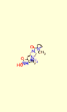 C=C(/C=C1/CN(C(=O)c2cccn2C)CCN1N)C(=O)NO